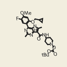 COc1cc(OCC2CC2)c(-c2nc(C)nc3c(C(=O)NC4CCN(OC(=O)OC(C)(C)C)CC4)c(C)[nH]c23)cc1F